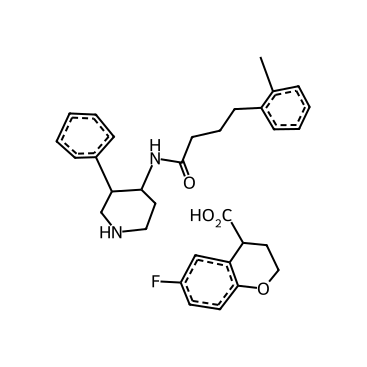 Cc1ccccc1CCCC(=O)NC1CCNCC1c1ccccc1.O=C(O)C1CCOc2ccc(F)cc21